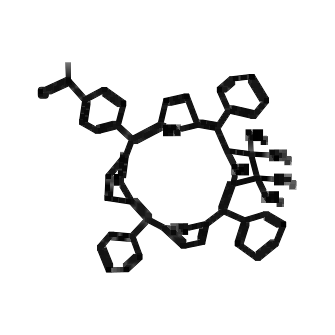 CC(=O)c1ccc(/C2=c3\cc/c([nH]3)=C(\c3ccccc3)C3N/C(=C(/c4ccccc4)c4ccc([nH]4)/C(c4ccccc4)=C4/C=CC2=N4)C(N)(N)C3(N)N)cc1